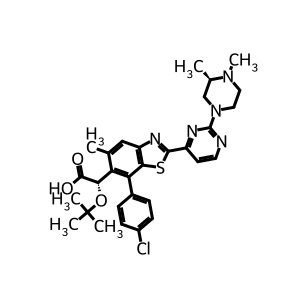 Cc1cc2nc(-c3ccnc(N4CCN(C)[C@H](C)C4)n3)sc2c(-c2ccc(Cl)cc2)c1[C@H](OC(C)(C)C)C(=O)O